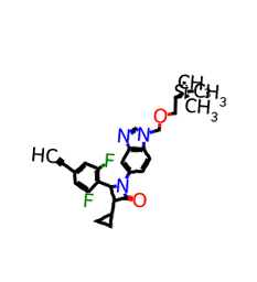 C#Cc1cc(F)c(C2C(C3CC3)C(=O)N2c2ccc3c(c2)ncn3COCC[Si](C)(C)C)c(F)c1